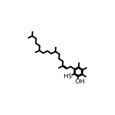 CC(=CCc1c(C)c(C)c(C)c(O)c1S)CCCC(C)CCCC(C)CCCC(C)C